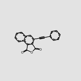 O=C1OC(=O)c2c1c(C#Cc1ccccc1)cc1ccccc21